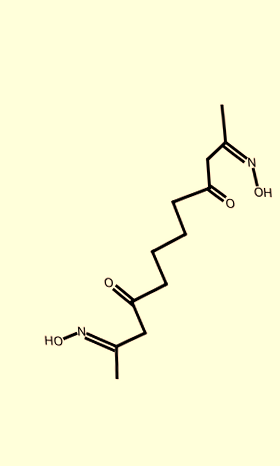 CC(CC(=O)CCCCC(=O)CC(C)=NO)=NO